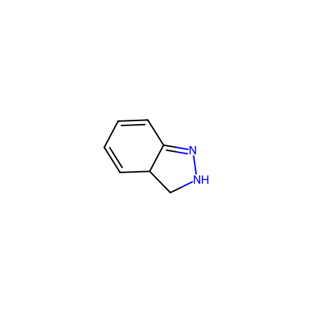 C1=CC2=NNCC2C=C1